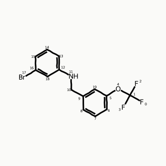 FC(F)(F)Oc1cccc(CNc2cccc(Br)c2)c1